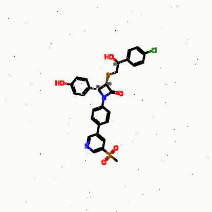 CS(=O)(=O)c1cncc(-c2ccc(N3C(=O)[C@H](SC[C@@H](O)c4ccc(Cl)cc4)[C@H]3c3ccc(O)cc3)cc2)c1